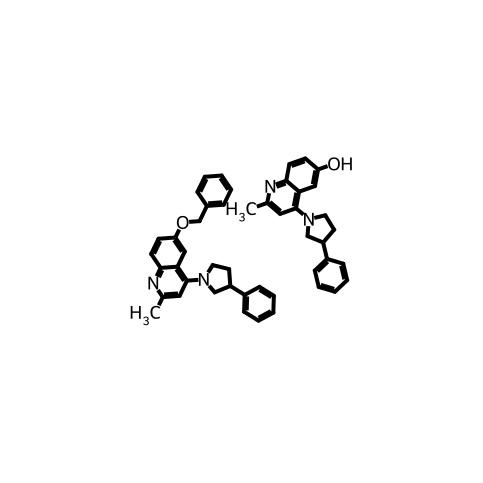 Cc1cc(N2CCC(c3ccccc3)C2)c2cc(O)ccc2n1.Cc1cc(N2CCC(c3ccccc3)C2)c2cc(OCc3ccccc3)ccc2n1